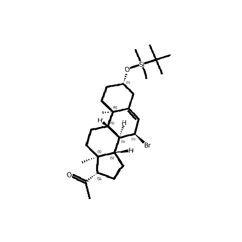 CC(=O)[C@H]1CC[C@H]2[C@@H]3[C@H](Br)C=C4C[C@@H](O[Si](C)(C)C(C)(C)C)CC[C@]4(C)[C@H]3CC[C@]12C